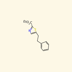 CCOC(=O)c1ncc(CCc2ccccc2)s1